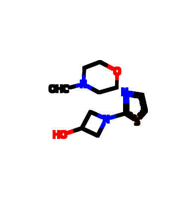 O=CN1CCOCC1.OC1CN(c2nccs2)C1